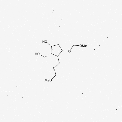 COCOCC1[C@@H](OCOC)C[C@@H](O)[C@H]1CO